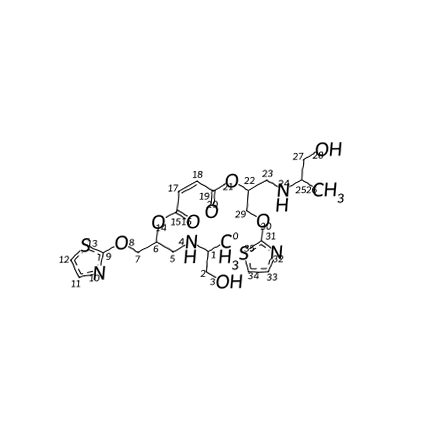 CC(CO)NCC(COc1nccs1)OC(=O)/C=C\C(=O)OC(CNC(C)CO)COc1nccs1